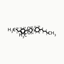 CCCCCC1CCC([C@H]2CO[C@H](c3ccc(CCC)cc3C)OC2)CC1